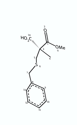 COC(=O)[C@@](C)(CSCc1ccccc1)C(=O)O